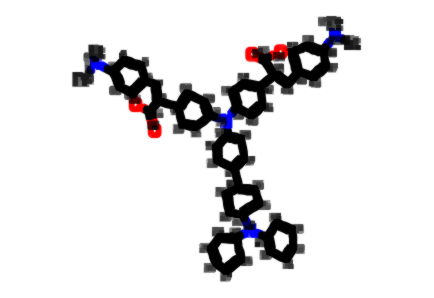 CCN(CC)c1ccc2cc(-c3ccc(N(c4ccc(-c5ccc(N(c6ccccc6)c6ccccc6)cc5)cc4)c4ccc(-c5cc6ccc(N(CC)CC)cc6oc5=O)cc4)cc3)c(=O)oc2c1